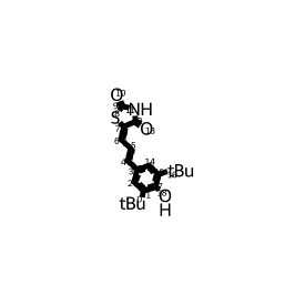 CC(C)(C)c1cc(C=CC=C2SC(=O)NC2=O)cc(C(C)(C)C)c1O